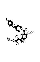 COC(=O)C(=O)c1csc2cc(OC)c(C(=O)N3CCC(F)(Cc4ccc(F)cc4)CC3)nc12